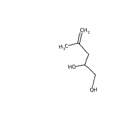 C=C(C)CC(O)CO